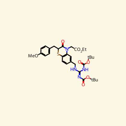 CCOC(=O)CN1C(=O)C(Cc2ccc(OC)cc2)Sc2ccc(CNC(=NC(=O)OC(C)(C)C)NC(=O)OC(C)(C)C)cc21